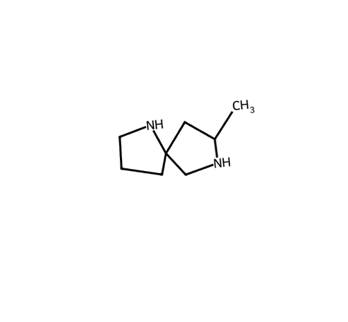 CC1CC2(CCCN2)CN1